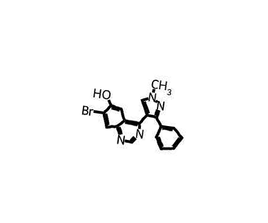 Cn1cc(-c2ncnc3cc(Br)c(O)cc23)c(-c2ccccc2)n1